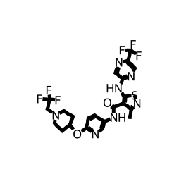 Cc1nsc(Nc2cnc(C(F)(F)F)cn2)c1C(=O)Nc1ccc(OC2CCN(CC(F)(F)F)CC2)nc1